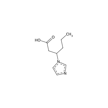 CCCC(CC(=O)O)n1ccnc1